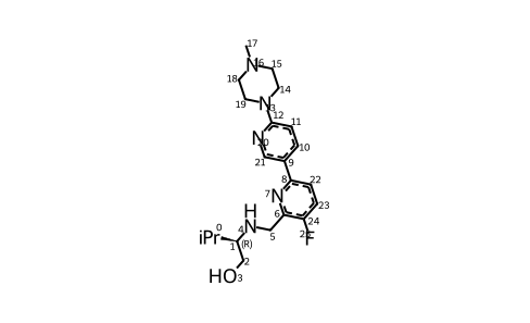 CC(C)[C@H](CO)NCc1nc(-c2ccc(N3CCN(C)CC3)nc2)ccc1F